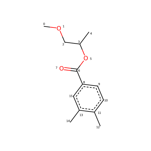 COCC(C)OC(=O)c1ccc(C)c(C)c1